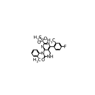 Cc1cc(F)ccc1-c1nc(S(C)(=O)=O)nc2c1CNC(=O)N2c1ccccc1C